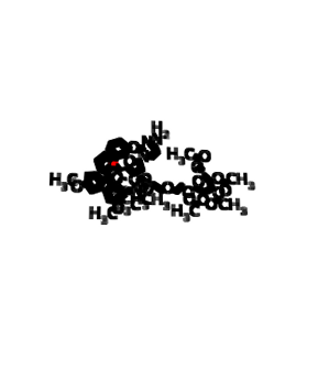 COc1ccc(C(OC(C(=O)c2ccccc2)[C@H]2O[C@@H](n3ccc(N)nc3=O)C[C@@H]2OP(=O)(OCCOCCO[C@@H]2O[C@H](COC(C)=O)[C@@H](OC(C)=O)[C@H](OC(C)=O)[C@H]2OC(C)=O)N(C(C)C)C(C)C)(c2ccccc2)c2ccc(OC)cc2)cc1